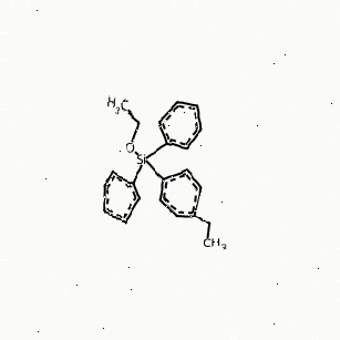 CCO[Si](c1ccccc1)(c1ccccc1)c1ccc(CC)cc1